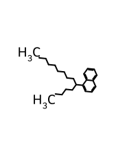 CCCCCCCCCC(CCCCC)c1cccc2ccccc12